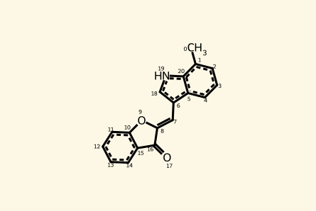 Cc1cccc2c(/C=C3\Oc4ccccc4C3=O)c[nH]c12